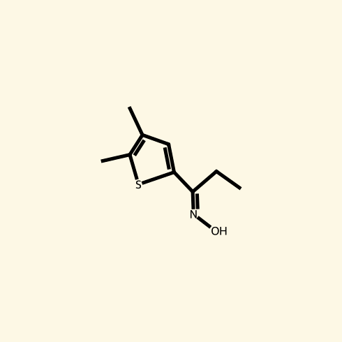 CC/C(=N\O)c1cc(C)c(C)s1